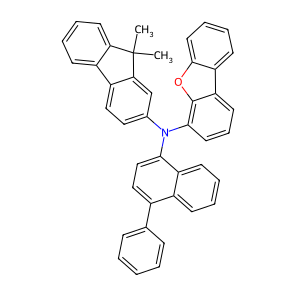 CC1(C)c2ccccc2-c2ccc(N(c3ccc(-c4ccccc4)c4ccccc34)c3cccc4c3oc3ccccc34)cc21